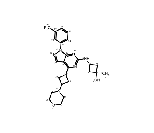 C[C@]1(O)C[C@H](Nc2nc(N3CC(N4CCOCC4)C3)c3cnn(-c4cccc(C(F)(F)F)c4)c3n2)C1